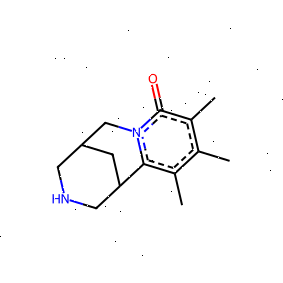 Cc1c(C)c2n(c(=O)c1C)CC1CNCC2C1